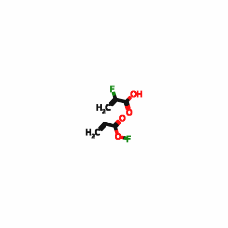 C=C(F)C(=O)O.C=CC(=O)OF